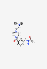 CCC(=O)NCc1cccc(C(=O)N2CCN(CCN(CC)CC)CC2)c1